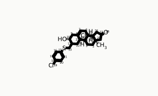 C[C@]12CC[C@H]3[C@@H](CC=C4C[C@@H](O)C(CSc5ccc(Cl)cc5)C[C@@]43C)[C@@H]1CC(=O)C2